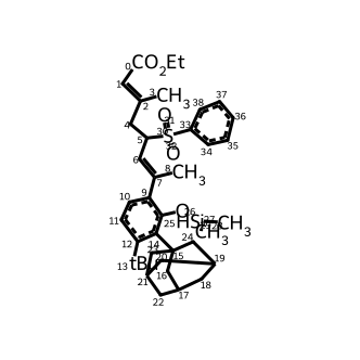 CCOC(=O)/C=C(\C)CC(/C=C(\C)c1ccc(C(C)(C)C)c(C23CC4CC(CC(C4)C2)C3)c1O[SiH](C)C)S(=O)(=O)c1ccccc1